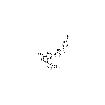 Cc1cc(Nc2nc(N3CCC[C@@H](NC(=O)c4ccc(C5CC5)cc4F)C3)cnc2C(N)=O)sn1